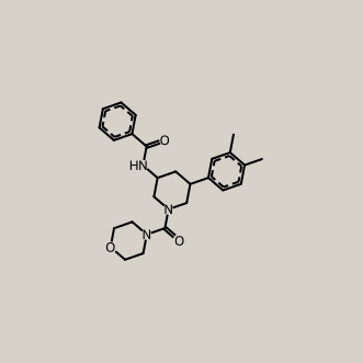 Cc1ccc(C2CC(NC(=O)c3ccccc3)CN(C(=O)N3CCOCC3)C2)cc1C